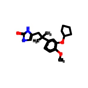 COc1ccc(C(C)(C)CC2=C[N]C(=O)N2)cc1OC1CCCC1